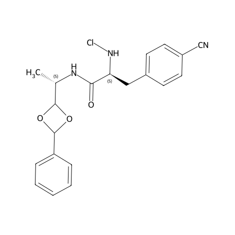 C[C@H](NC(=O)[C@H](Cc1ccc(C#N)cc1)NCl)C1OC(c2ccccc2)O1